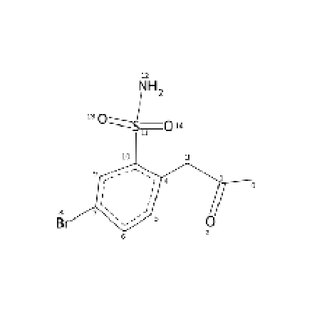 CC(=O)Cc1ccc(Br)cc1S(N)(=O)=O